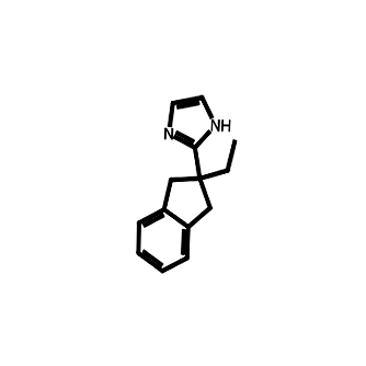 CCC1(c2ncc[nH]2)Cc2ccccc2C1